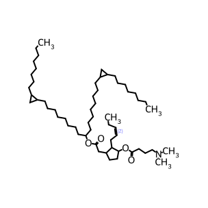 CC/C=C\CC1C(CC(=O)OC(CCCCCCCCC2CC2CCCCCCCC)CCCCCCCCC2CC2CCCCCCCC)CCC1OC(=O)CCCN(C)C